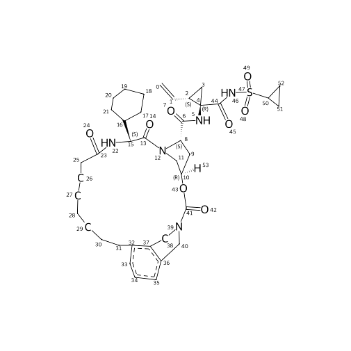 C=C[C@@H]1C[C@]1(NC(=O)[C@@H]1C[C@@H]2CN1C(=O)[C@H](C1CCCCC1)NC(=O)CCCCCCCc1cccc3c1CN(C3)C(=O)O2)C(=O)NS(=O)(=O)C1CC1